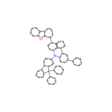 c1ccc(-c2ccc(N(c3ccc(-c4cccc5c4oc4ccccc45)cc3)c3ccc4c(c3)C(c3ccccc3)(c3ccccc3)c3ccccc3-4)c(-c3ccccc3)c2)cc1